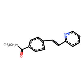 CN(O)C(=O)c1ccc(/C=C/c2ccccn2)cc1